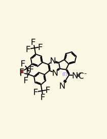 [C-]#[N+]/C(C#N)=C1\c2ccccc2-c2nc(-c3cc(C(F)(F)F)cc(C(F)(F)F)c3)c(-c3cc(C(F)(F)F)cc(C(F)(F)F)c3)nc21